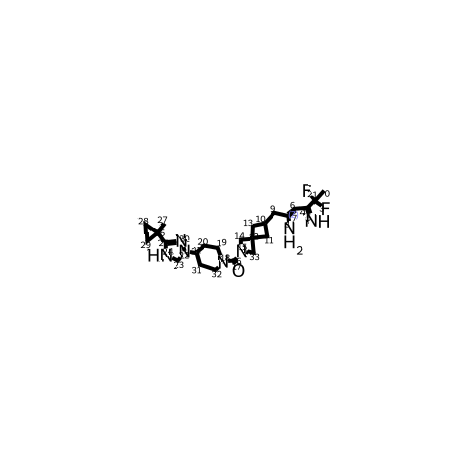 CC(F)(F)C(=N)/C=C(\N)CC1CC2(C1)CN(C(=O)N1CCC(N3CNC(C4(C)CC4)=N3)CC1)C2